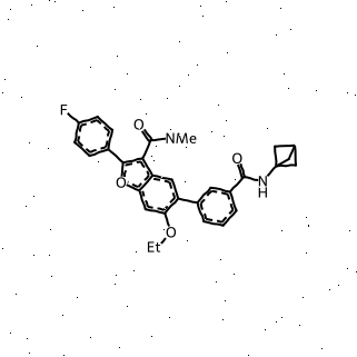 CCOc1cc2oc(-c3ccc(F)cc3)c(C(=O)NC)c2cc1-c1cccc(C(=O)NC23CC(C2)C3)c1